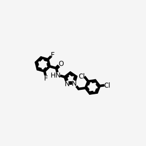 O=C(Nc1ccn(Cc2ccc(Cl)cc2Cl)n1)c1c(F)cccc1F